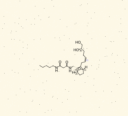 CCCCCNC(=O)CC(=O)NC[C@@H]1C(C/C=C\CC[C@@H](O)CO)[C@@H]2CC[C@H]1O2